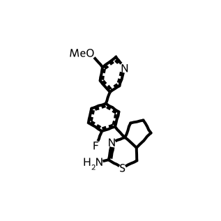 COc1cncc(-c2ccc(F)c(C34CCCC3CSC(N)=N4)c2)c1